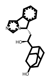 O[C@@H](C[C@H]1c2ccccc2-c2cncn21)C1C2CC3CC1CC(O)(C3)C2